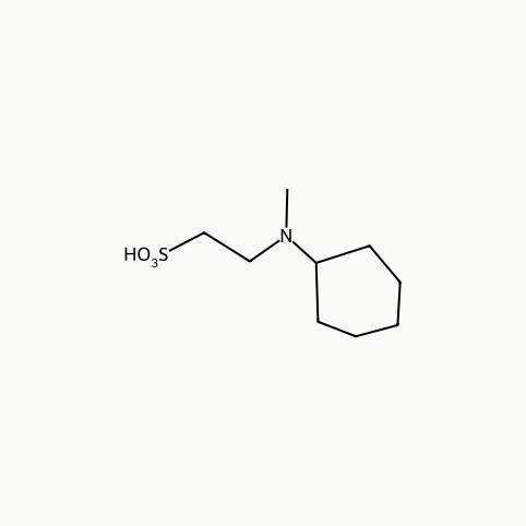 CN(CCS(=O)(=O)O)C1CCCCC1